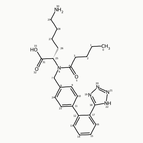 CCCCC(=O)N(Cc1ccc(-c2ccccc2-c2nnn[nH]2)cc1)[C@@H](CCCCN)C(=O)O